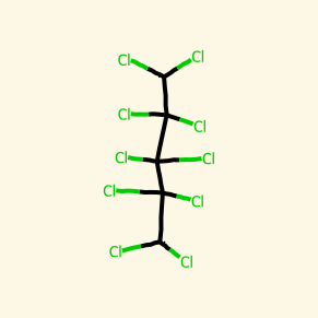 Cl[C](Cl)C(Cl)(Cl)C(Cl)(Cl)C(Cl)(Cl)[C](Cl)Cl